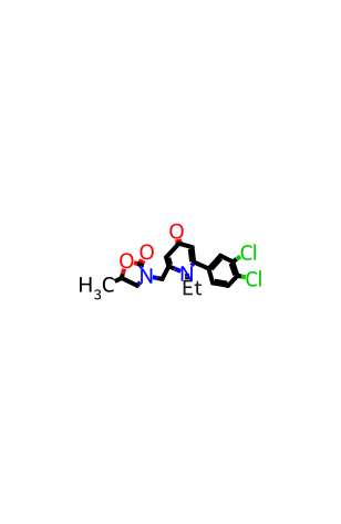 CCn1c(CN2CC(C)OC2=O)cc(=O)cc1-c1ccc(Cl)c(Cl)c1